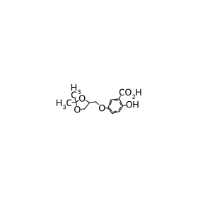 CC1(C)OCC(COc2ccc(O)c(C(=O)O)c2)O1